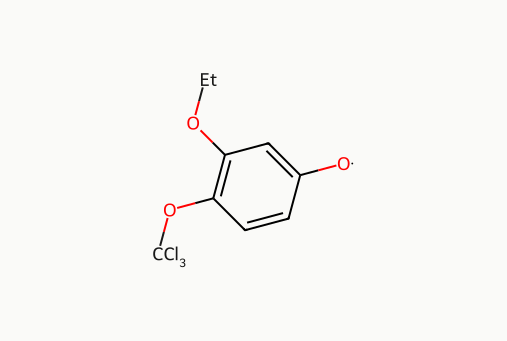 CCOc1cc([O])ccc1OC(Cl)(Cl)Cl